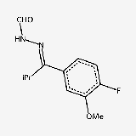 COc1cc(/C(=N/NC=O)C(C)C)ccc1F